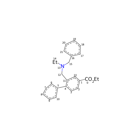 CCOC(=O)c1ccc(-c2ccccc2)c(CN(CC)Cc2ccccc2)c1